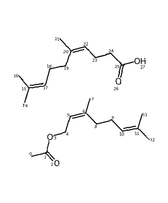 CC(=O)OC/C=C(/C)CCC=C(C)C.CC(C)=CCC/C(C)=C\CCC(=O)O